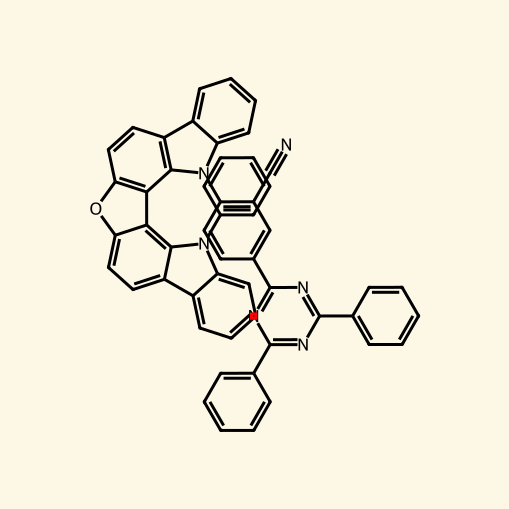 N#Cc1cc(-c2nc(-c3ccccc3)nc(-c3ccccc3)n2)ccc1-n1c2ccccc2c2ccc3oc4ccc5c6ccccc6n(-c6ccccc6)c5c4c3c21